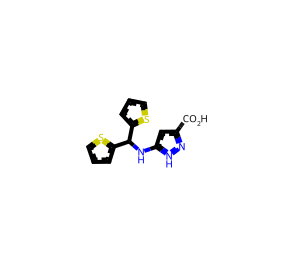 O=C(O)c1cc(NC(c2cccs2)c2cccs2)[nH]n1